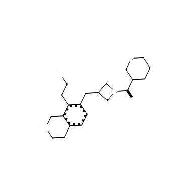 C=C(C1CCCNC1)N1CC(Cc2ccc3c(c2CCC)CBCC3)C1